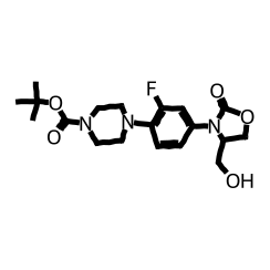 CC(C)(C)OC(=O)N1CCN(c2ccc(N3C(=O)OCC3CO)cc2F)CC1